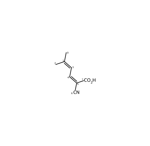 CC(C)=CC=C(C#N)C(=O)O